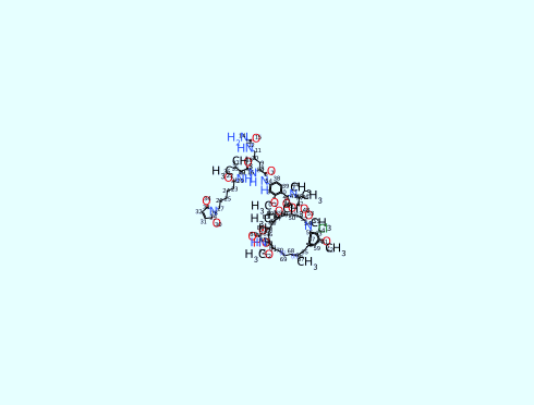 COc1cc(NC(=O)[C@H](CCCNC(N)=O)NC(=O)[C@@H](NC(=O)CCCCCN2C(=O)C=CC2=O)C(C)C)ccc1C(=O)N(C)[C@@H](C)C(=O)O[C@H]1CC(=O)N(C)c2cc(cc(OC)c2Cl)C/C(C)=C/C=C/[C@@H](OC)[C@@]2(O)C[C@H](OC(=O)N2)[C@@H](C)[C@@H]2O[C@@]12C